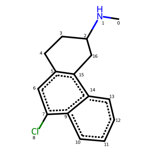 CNC1CCc2cc(Cl)c3ccccc3c2C1